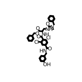 CN(Cc1ccccc1)C(=O)NCC(NC(=O)c1c(Cl)cc(C(=O)NCc2cccc(O)c2)cc1Cl)C(=O)OCc1ccccc1